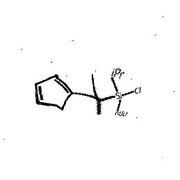 CCCC[Si](Cl)(C(C)C)C(C)(C)C1=CC=CC1